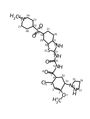 COC1=CC(Cl)C(C(=O)NC(=O)NC2NC3CCC(S(=O)(=O)C4CCN(C)CC4)CC3S2)CC1N1CCCN1